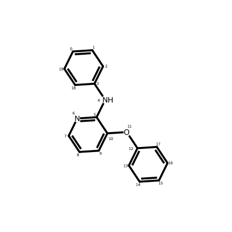 c1ccc(Nc2ncccc2Oc2ccccc2)cc1